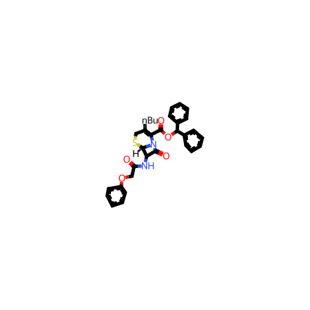 CCCCC1=C(C(=O)OC(c2ccccc2)c2ccccc2)N2C(=O)C(NC(=O)COc3ccccc3)[C@H]2SC1